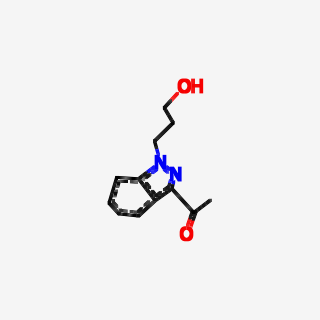 CC(=O)c1nn(CCCO)c2ccccc12